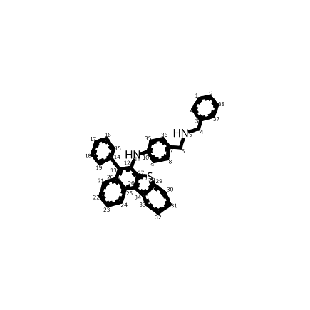 c1ccc(CNCc2ccc(Nc3c(-c4ccccc4)c4ccccc4c4c3sc3ccccc34)cc2)cc1